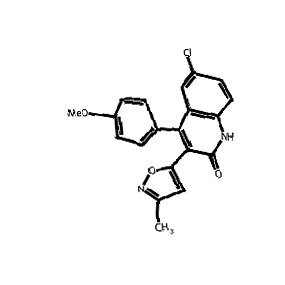 COc1ccc(-c2c(-c3cc(C)no3)c(=O)[nH]c3ccc(Cl)cc23)cc1